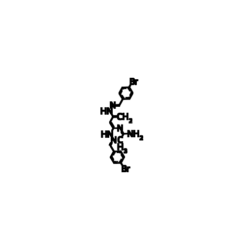 C=C(/C=C(\N=C(/C)N)N/N=C/c1ccc(Br)cc1)N/N=C/c1ccc(Br)cc1